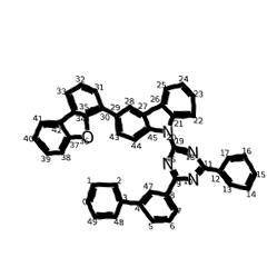 c1ccc(-c2cccc(-c3nc(-c4ccccc4)nc(-n4c5ccccc5c5cc(-c6cccc7c6oc6ccccc67)ccc54)n3)c2)cc1